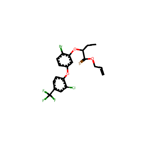 C=CCOC(=S)C(CC)Oc1cc(Oc2ccc(C(F)(F)F)cc2Cl)ccc1Br